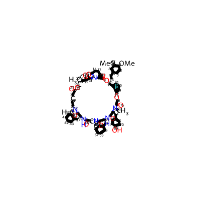 COc1ccc(CC[C@H]2OC(=O)[C@@H]3CCCCN3C(=O)C(=O)C(C)(C)COC(=O)CCCCN(C)C(=O)[C@@H](Cc3ccccc3)NC(=O)CN(C)C(=O)[C@@H](Cc3ccccc3)NC(=O)[C@H](Cc3ccc(O)cc3)N(C)C(=O)COc3cccc2c3F)cc1OC